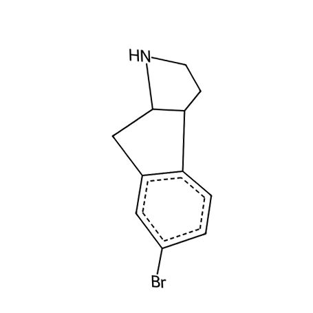 Brc1ccc2c(c1)CC1NCCC21